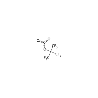 O=[SH](=O)OC(C(F)(F)F)(C(F)(F)F)C(F)(F)F